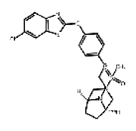 CS(=O)(=O)N1C[C@H]2CC[C@@H](C1)N2CCOc1ccc(Oc2nc3ccc(Cl)cc3s2)cc1